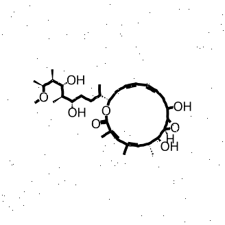 CO[C@@H](C)[C@@H](C)[C@H](O)[C@H](C)[C@@H](O)CCC(C)[C@@H]1C/C=C\C=C/CC(O)C2O[C@H]2[C@@H](O)[C@H](C)/C=C(C)\C=C(\C)C(=O)O1